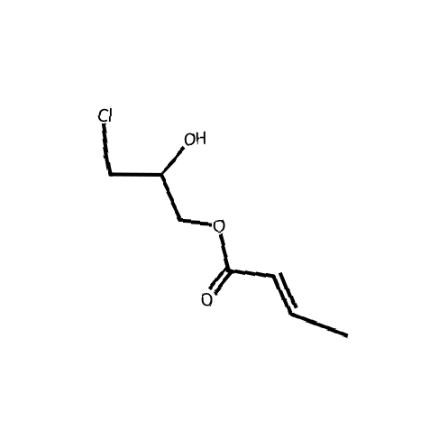 CC=CC(=O)OCC(O)CCl